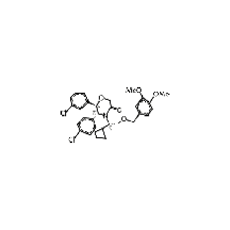 COc1ccc(COC[C@H](C2CCC2)N2C(=O)CO[C@H](c3cccc(Cl)c3)[C@H]2c2ccc(Cl)cc2)cc1OC